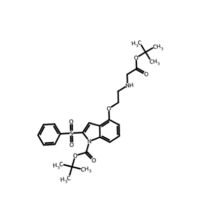 CC(C)(C)OC(=O)CNCCOc1cccc2c1cc(S(=O)(=O)c1ccccc1)n2C(=O)OC(C)(C)C